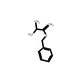 C=C(SCc1ccccc1)C(C)C